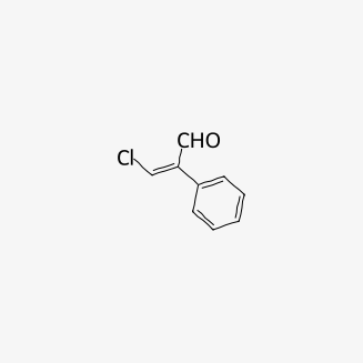 O=CC(=CCl)c1ccccc1